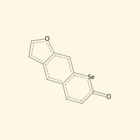 O=c1ccc2cc3ccoc3cc2[se]1